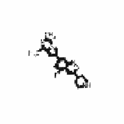 Cc1cn2cc(-c3cc(F)c4cc(C5CCNCC5)nnc4c3)cc2c(C)n1